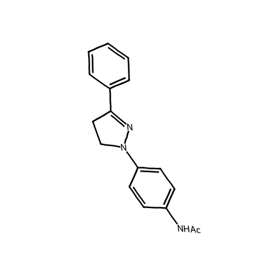 CC(=O)Nc1ccc(N2CCC(c3ccccc3)=N2)cc1